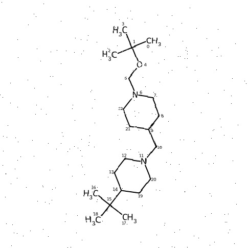 CC(C)(C)OCN1CCC(CN2CCC(C(C)(C)C)CC2)CC1